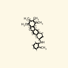 Cc1ccccc1NC1=CCc2cc3c(cc2C1)oc1c(C)c(C)c(C)c(C)c13